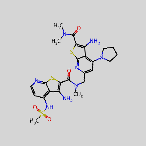 CN(C)C(=O)c1sc2nc(CN(C)C(=O)c3sc4nccc(NS(C)(=O)=O)c4c3N)cc(N3CCCC3)c2c1N